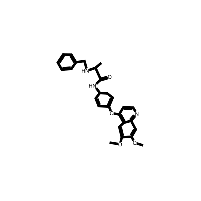 COc1cc2nccc(OC3=CCC(NC(=O)C(C)NCc4ccccc4)C=C3)c2cc1OC